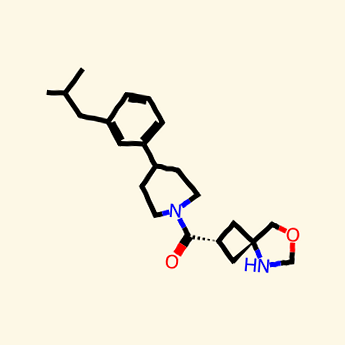 CC(C)Cc1cccc(C2CCN(C(=O)[C@H]3C[C@]4(COCN4)C3)CC2)c1